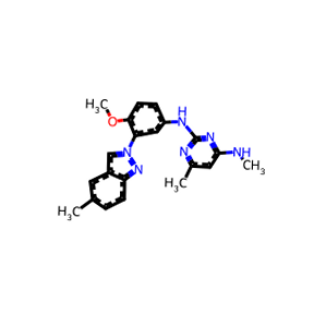 CNc1cc(C)nc(Nc2ccc(OC)c(-n3cc4cc(C)ccc4n3)c2)n1